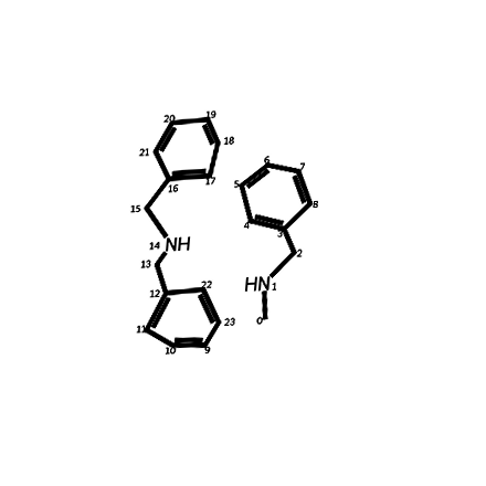 CNCc1ccccc1.c1ccc(CNCc2ccccc2)cc1